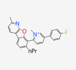 CCCc1ccc2c(oc3nc(C)ccc32)c1-c1ccc(-c2ccc(F)cc2)c[n+]1C